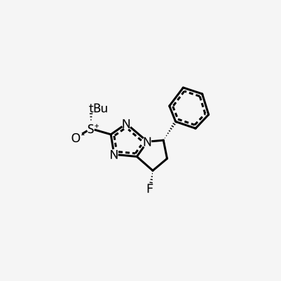 CC(C)(C)[S@@+]([O-])c1nc2n(n1)[C@H](c1ccccc1)C[C@@H]2F